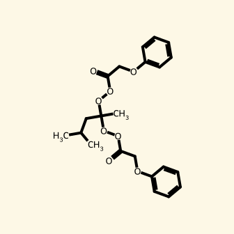 CC(C)CC(C)(OOC(=O)COc1ccccc1)OOC(=O)COc1ccccc1